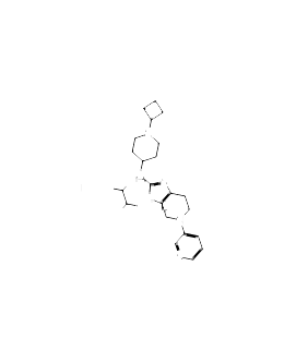 O=C(O)C(O)C(O)C(=O)O.c1cncc(N2CCc3nc(OC4CCN(C5CCC5)CC4)sc3C2)c1